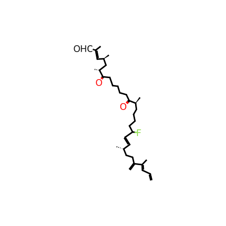 C=C/C=C(\C)C(=C)CC[C@H](C)/C=C/C(F)CCCC[C@H](C)C(=O)CCCCCC(=O)[C@H](C)C[C@H](C)/C=C(\C)C=O